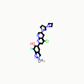 Cn1cc2cc(-c3cc(Cl)c4cc(N5CC[C@@H](N6CCC6)C5)cnc4n3)c(O)c(F)c2n1